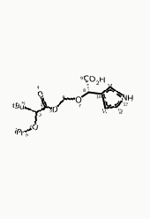 CC(C)O[C@H](C(=O)OCO[C@H](C(=O)O)c1cc[nH]c1)C(C)(C)C